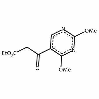 CCOC(=O)CC(=O)c1cnc(OC)nc1OC